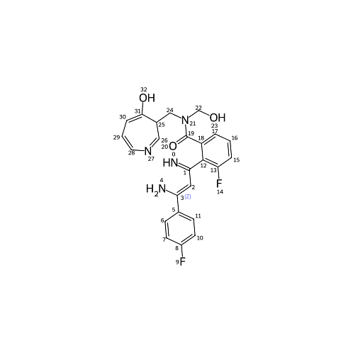 N=C(/C=C(\N)c1ccc(F)cc1)c1c(F)cccc1C(=O)N(CO)CC1C=NC=CC=C1O